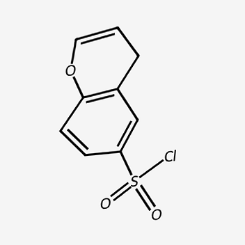 O=S(=O)(Cl)c1ccc2c(c1)CC=CO2